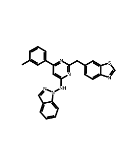 Cc1cccc(-c2cc(Nn3ncc4ccccc43)nc(Cc3ccc4ncsc4c3)n2)c1